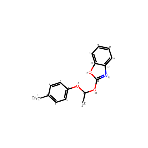 CCC(Oc1ccc(C=O)cc1)Oc1nc2ccccc2o1